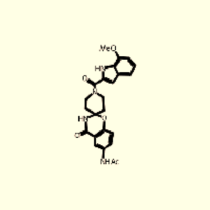 COc1cccc2cc(C(=O)N3CCC4(CC3)NC(=O)c3cc(NC(C)=O)ccc3O4)[nH]c12